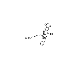 CCCCCCCCCCCCCCCC(=O)N[C@H](CNCc1ccccc1)[C@@H](O)c1ccc2c(c1)OCCO2